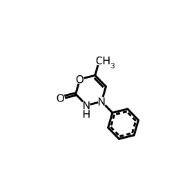 CC1=CN(c2ccccc2)NC(=O)O1